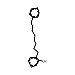 N#Cc1ccccc1CCCCCCCCc1ccccc1